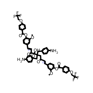 COc1cc(/C=C/C(=O)CC(Cc2ccc(N)cc2)(Cc2ccc(N)cc2)C(O)(O)C(=O)/C=C/c2ccc(OC(=O)c3ccc(OCC(F)(F)F)cc3)c(OC)c2)ccc1OC(=O)c1ccc(OCC(F)(F)F)cc1